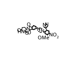 COc1cc(N2CCN(c3ccc4c(c3)C(=O)N(C3CCC(=O)NC3=O)C4=O)CC2)c(-c2cnn(C)c2)cc1[N+](=O)[O-]